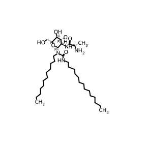 CCCCCCCCCCCCCCNC(=O)N(CCCCCCCCCCCC)[C@@H]1O[C@H](CO)[C@@H](O)[C@H](O)[C@H]1NC(=O)[C@H](C)N